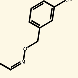 C/[C]=N\OCc1cccc(C#N)c1